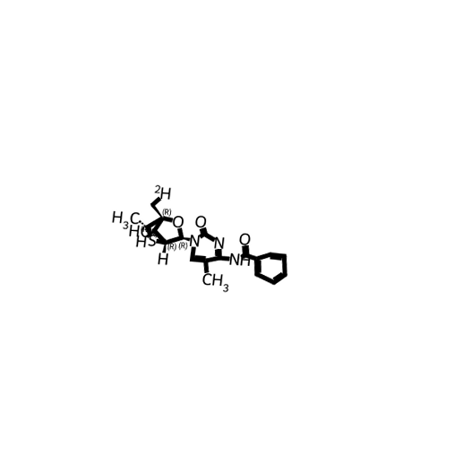 [2H]C[C@]12O[C@@H](n3cc(C)c(NC(=O)c4ccccc4)nc3=O)[C@H](S[C@@H]1C)[C@@H]2O